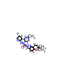 CN1CCC(N(Cc2ccc(F)cn2)C(=O)NCc2ccc3c(c2)C=CC(C)(C)O3)CC1